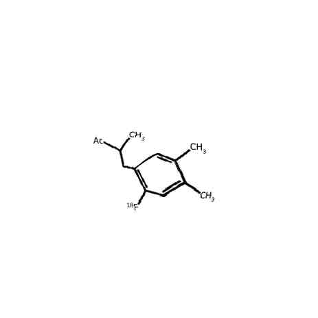 CC(=O)C(C)Cc1cc(C)c(C)cc1[18F]